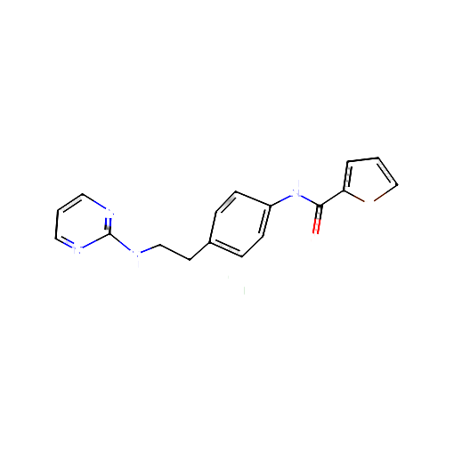 Cl.Cl.O=C(Nc1ccc(CCNc2ncccn2)cc1)c1cccs1